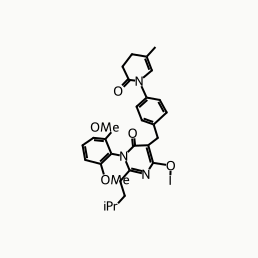 COc1cccc(OC)c1-n1c(CCC(C)C)nc(OI)c(Cc2ccc(N3C=C(C)CCC3=O)cc2)c1=O